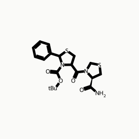 CC(C)(C)OC(=O)N1C(C(=O)N2CSC[C@H]2C(N)=O)CSC1c1ccccc1